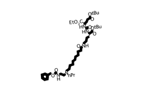 CCCN(CCCCCCCCCCC(=O)NCCCC[C@H](NC(=O)N[C@@H](CCC(=O)OC(C)(C)C)C(=O)OCC)C(=O)OC(C)(C)C)CCNC(=O)OCc1ccccc1